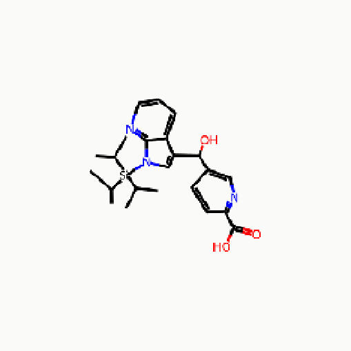 CC(C)[Si](C(C)C)(C(C)C)n1cc(C(O)c2ccc(C(=O)O)nc2)c2cccnc21